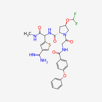 CNC(=O)C(NC(=O)[C@@H]1C[C@@H](OC(F)F)CN1C(=O)CNC(=O)c1ccc(Oc2ccccc2)cc1)c1cc(C(=N)N)cs1